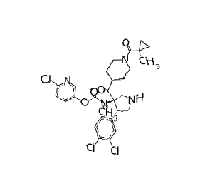 CN(C(=O)Oc1ccc(Cl)nc1)[C@@]1(C(=O)C2CCN(C(=O)C3(C)CC3)CC2)CNC[C@@H]1c1ccc(Cl)c(Cl)c1